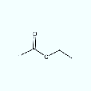 [CH2]C(=O)OCC